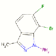 Cc1nn(P)c2c(Br)c(F)ccc12